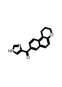 O=C(c1ccc2c3c(ccc2c1)OCCC3)c1c[nH]cn1